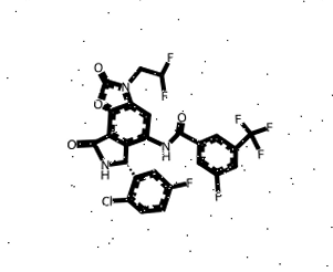 O=C(Nc1cc2c(oc(=O)n2CC(F)F)c2c1[C@H](c1cc(F)ccc1Cl)NC2=O)c1cc(F)cc(C(F)(F)F)c1